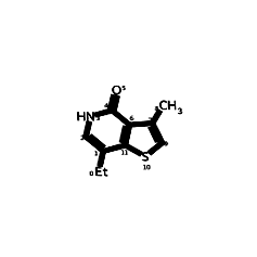 CCc1c[nH]c(=O)c2c(C)csc12